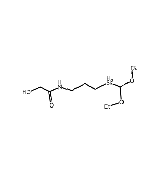 CCOC(OCC)[SiH2]CCCNC(=O)CO